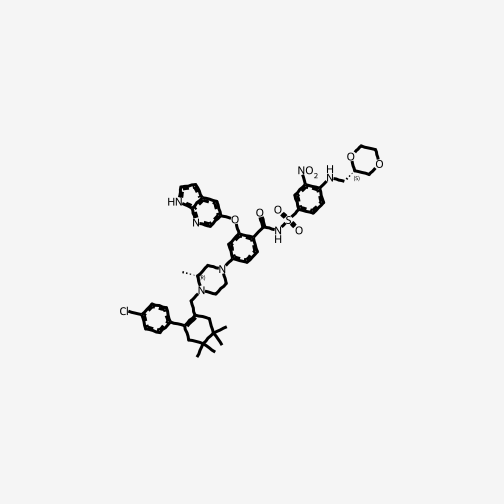 C[C@@H]1CN(c2ccc(C(=O)NS(=O)(=O)c3ccc(NC[C@H]4COCCO4)c([N+](=O)[O-])c3)c(Oc3cnc4[nH]ccc4c3)c2)CCN1CC1=C(c2ccc(Cl)cc2)CC(C)(C)C(C)(C)C1